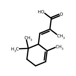 CC(=CC1C(C)=CCCC1(C)C)C(=O)O